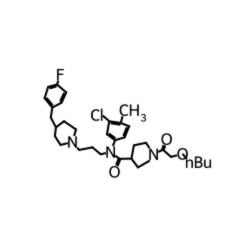 CCCCOCC(=O)N1CCC(C(=O)N(CCCN2CCC(Cc3ccc(F)cc3)CC2)c2ccc(C)c(Cl)c2)CC1